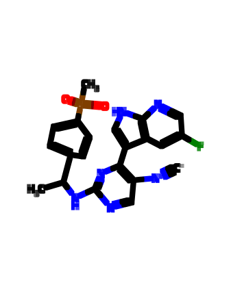 [C-]#[N+]c1cnc(NC(C)c2ccc(S(C)(=O)=O)cc2)nc1-c1c[nH]c2ncc(F)cc12